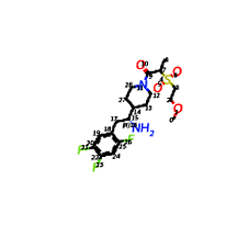 COCCS(=O)(=O)C(C)C(=O)N1CCC([C@H](N)Cc2cc(F)c(F)cc2F)CC1